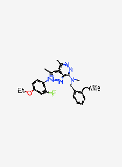 CCOc1ccc(-n2nc3c(N(C)Cc4ccccc4CNC)nnc(C)c3c2C)c(F)c1